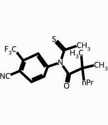 CCCC(C)(C)C(=O)N(C(C)=S)c1ccc(C#N)c(C(F)(F)F)c1